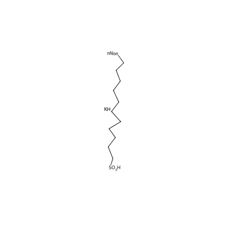 CCCCCCCCCCCCCCCCCCCCS(=O)(=O)O.[KH]